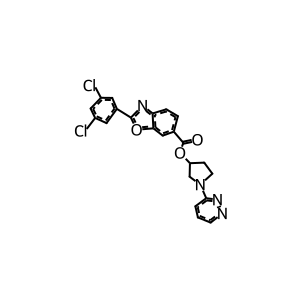 O=C(OC1CCN(c2cccnn2)C1)c1ccc2nc(-c3cc(Cl)cc(Cl)c3)oc2c1